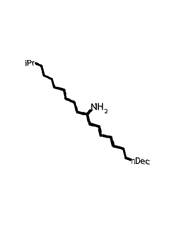 CCCCCCCCCCCCCCCCCC(N)CCCCCCCCC(C)C